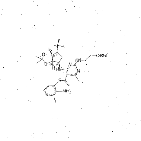 C=C(Sc1ccnc(C)c1N)c1c(C)nc(NCCOC)nc1N[C@@H]1C[C@H](C(C)(C)F)[C@H]2OC(C)(C)O[C@H]21